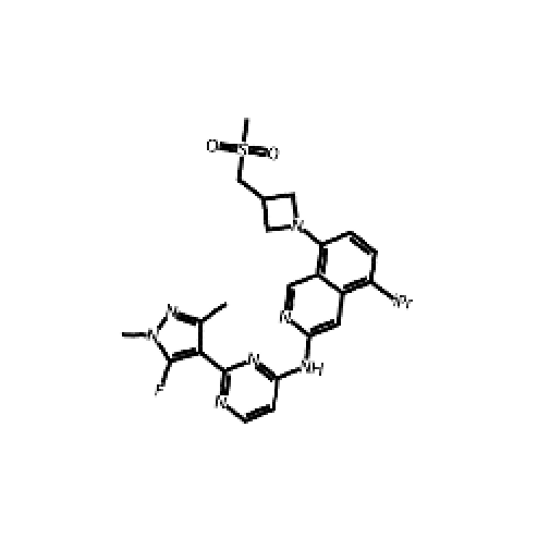 Cc1nn(C)c(F)c1-c1nccc(Nc2cc3c(C(C)C)ccc(N4CC(CS(C)(=O)=O)C4)c3cn2)n1